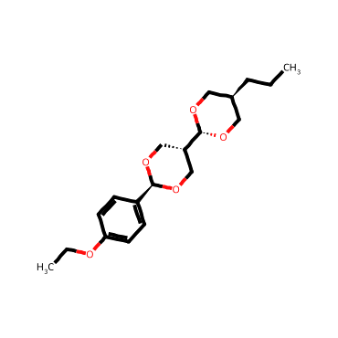 CCC[C@H]1CO[C@H]([C@H]2CO[C@H](c3ccc(OCC)cc3)OC2)OC1